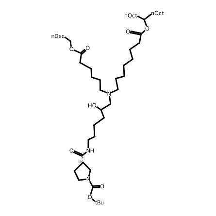 CCCCCCCCCCCOC(=O)CCCCCN(CCCCCCCC(=O)OC(CCCCCCCC)CCCCCCCC)CC(O)CCCCNC(=O)[C@H]1CCN(C(=O)OC(C)(C)C)C1